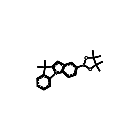 CC1(C)c2ccccc2-n2c1cc1cc(B3OC(C)(C)C(C)(C)O3)ccc12